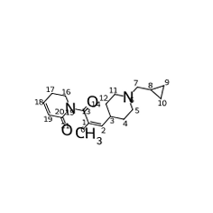 CC(=CC1CCN(CC2CC2)CC1)C(=O)N1CCC=CC1=O